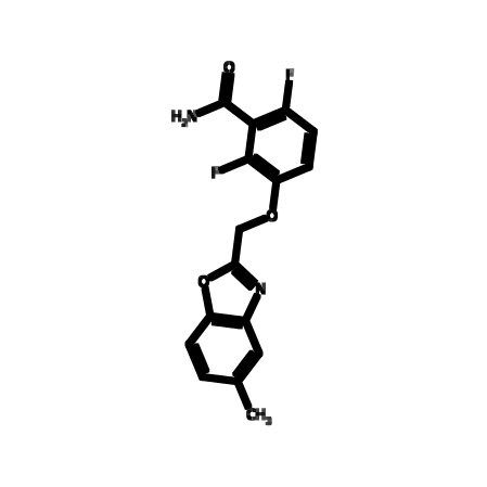 Cc1ccc2oc(COc3ccc(F)c(C(N)=O)c3F)nc2c1